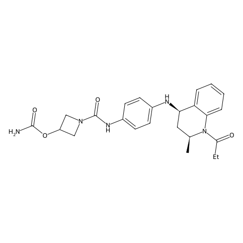 CCC(=O)N1c2ccccc2[C@H](Nc2ccc(NC(=O)N3CC(OC(N)=O)C3)cc2)C[C@@H]1C